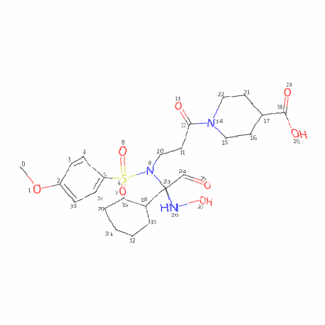 COc1ccc(S(=O)(=O)N(CCC(=O)N2CCC(C(=O)O)CC2)C(C=O)(NO)C2CCCCC2)cc1